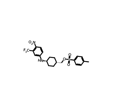 Cc1ccc(S(=O)(=O)OC[C@H]2CC[C@H](Nc3ccc([N+](=O)[O-])c(C(F)(F)F)c3)CC2)cc1